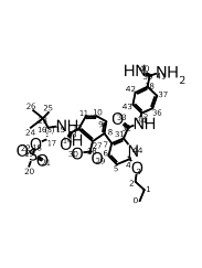 CCCOc1ccc(-c2cccc(C(=O)N[C@H](COS(C)(=O)=O)C(C)(C)C)c2C(=O)O)c(C(=O)Nc2ccc(C(=N)N)cc2)n1